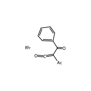 CC(=O)C(=C=O)C(=O)c1ccccc1.[Rh]